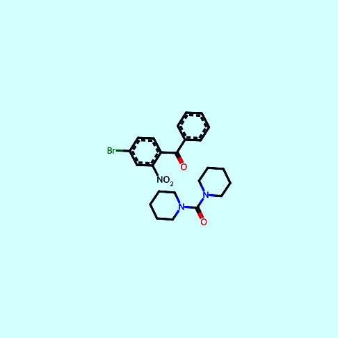 O=C(N1CCCCC1)N1CCCCC1.O=C(c1ccccc1)c1ccc(Br)cc1[N+](=O)[O-]